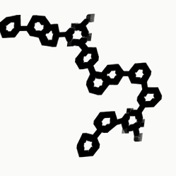 Clc1nc(-c2cccc(-c3ccccc3)c2)nc(-c2cccc(-c3cccc(-c4ccc5c(-c6ccc(-c7nc(Cl)nc(-c8ccc9cc(-c%10ccccc%10)ccc9c8)n7)cc6)cccc5c4)c3)c2)n1